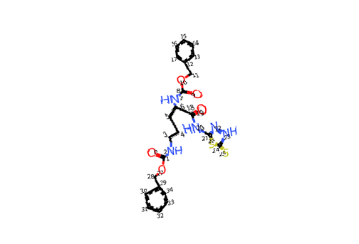 O=C(NCCCC(NC(=O)OCc1ccccc1)C(=O)Nc1n[nH]c(=S)s1)OCc1ccccc1